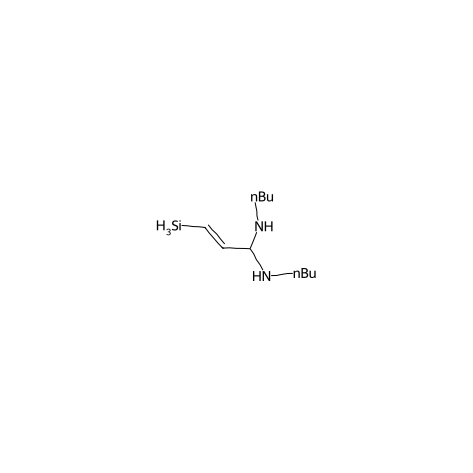 CCCCNC(C=C[SiH3])NCCCC